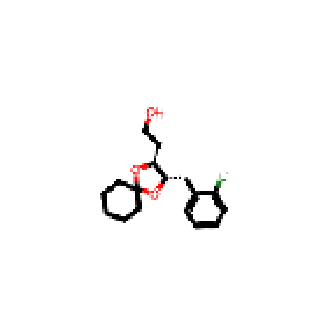 OCC[C@@H]1OC2(CCCCC2)O[C@H]1Cc1ccccc1Cl